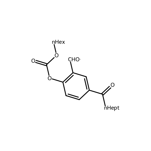 CCCCCCCC(=O)c1ccc(OC(=O)OCCCCCC)c([C]=O)c1